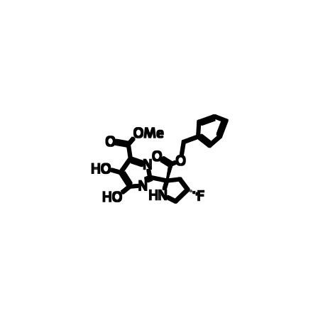 COC(=O)c1nc([C@]2(C(=O)OCc3ccccc3)C[C@H](F)CN2)nc(O)c1O